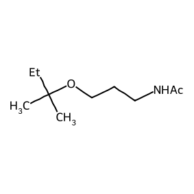 CCC(C)(C)OCCCNC(C)=O